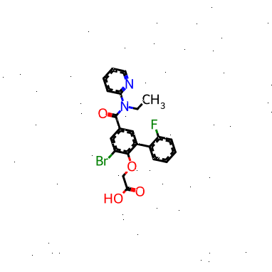 CCN(C(=O)c1cc(Br)c(OCC(=O)O)c(-c2ccccc2F)c1)c1ccccn1